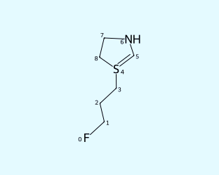 FCCCS1=CNCC1